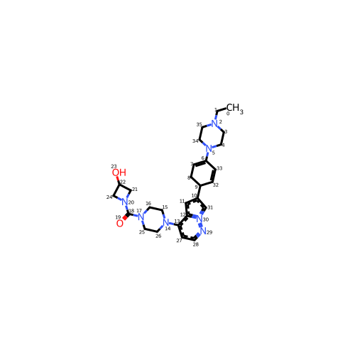 CCN1CCN(C2=CCC(c3cc4c(N5CCN(C(=O)N6CC(O)C6)CC5)ccnn4c3)C=C2)CC1